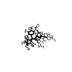 CC(C)(C)c1cc(C(C)(C)C)nc(CN2C(=O)COc3c(F)cc(CC4SC(=S)NC4=O)cc32)n1